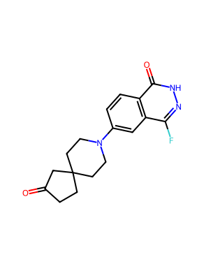 O=C1CCC2(CCN(c3ccc4c(=O)[nH]nc(F)c4c3)CC2)C1